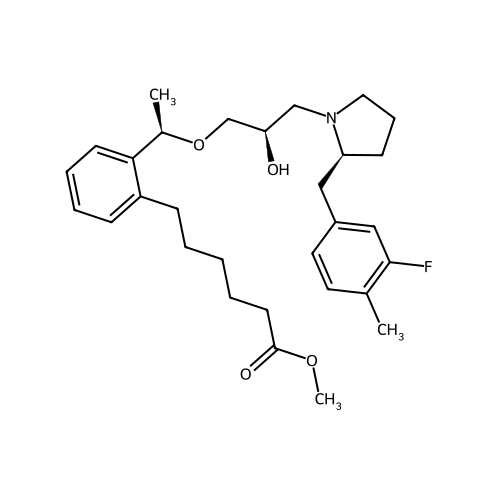 COC(=O)CCCCCc1ccccc1[C@@H](C)OC[C@H](O)CN1CCC[C@H]1Cc1ccc(C)c(F)c1